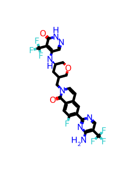 Nc1nc(-c2cc3ccn(CC4COC[C@H](Nc5cn[nH]c(=O)c5C(F)(F)F)C4)c(=O)c3cc2F)ncc1C(F)(F)F